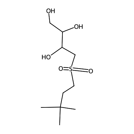 CC(C)(C)CCS(=O)(=O)CC(O)C(O)CO